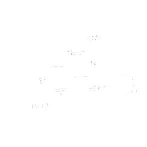 CC/C(=C\c1c(C)nc(SC)nc1NC1CCOC1)C(=O)O